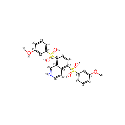 COc1cccc(S(=O)(=O)c2ccc(S(=O)(=O)c3cccc(OC)c3)c3cnccc23)c1